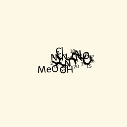 COc1cnc(Cl)c2nc(-c3cnn(C4CCCCO4)c3C)nc(O)c12